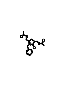 CC(=O)SCC1CC(CSC(C)=O)N(Cc2ccccc2)C1=O